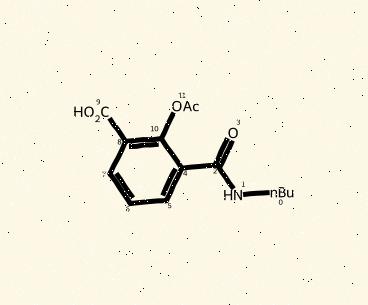 CCCCNC(=O)c1cccc(C(=O)O)c1OC(C)=O